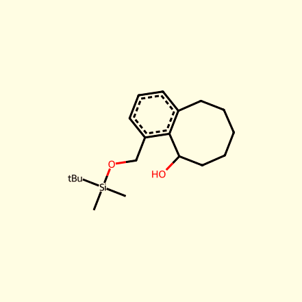 CC(C)(C)[Si](C)(C)OCc1cccc2c1C(O)CCCCC2